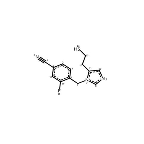 N#Cc1ccc(Cn2cncc2CCS)c(F)c1